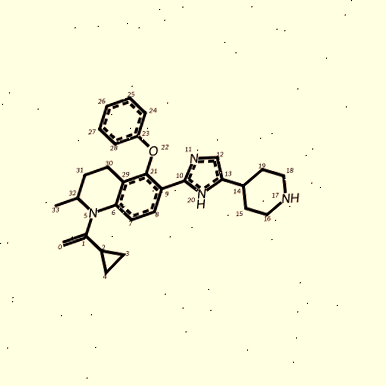 C=C(C1CC1)N1c2ccc(-c3ncc(C4CCNCC4)[nH]3)c(Oc3ccccc3)c2CCC1C